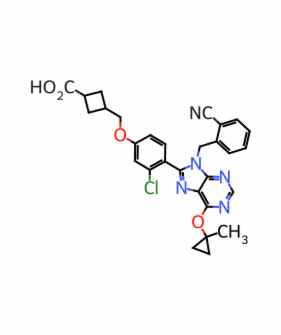 CC1(Oc2ncnc3c2nc(-c2ccc(OCC4CC(C(=O)O)C4)cc2Cl)n3Cc2ccccc2C#N)CC1